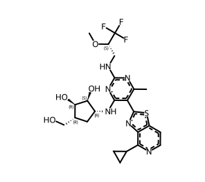 CO[C@@H](CNc1nc(C)c(-c2nc3c(C4CC4)nccc3s2)c(N[C@@H]2C[C@H](CO)[C@@H](O)[C@H]2O)n1)C(F)(F)F